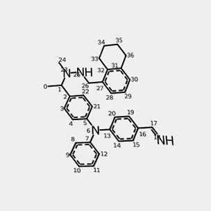 CC(c1ccc(N(c2ccccc2)c2ccc(C=N)cc2)cc1)N(C)NCc1cccc2c1CCCC2